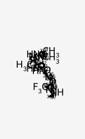 Cc1cnc(Nc2cc(C)n(C)n2)nc1-c1c[nH]c2c(NC(=O)CN3CC[C@H](Oc4cc(C(F)(F)F)nc(NC5CC5)n4)C3)cccc12